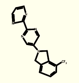 FC(F)(F)c1cccc2c1CN(c1cnc(-c3ncccn3)nc1)C2